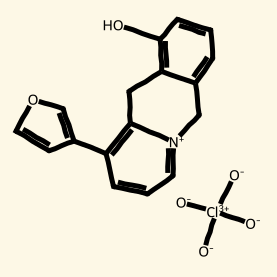 Oc1cccc2c1Cc1c(-c3ccoc3)ccc[n+]1C2.[O-][Cl+3]([O-])([O-])[O-]